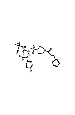 N#CC1(NC(=O)[C@H](CS(=O)(=O)N2CCN(C(=O)OCc3ccccc3)CC2)N[C@@H](c2ccc(F)cc2)C(F)(F)F)CC1